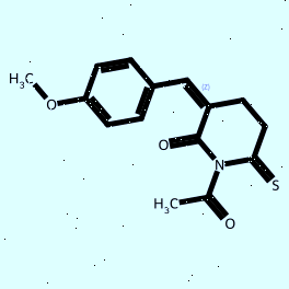 COc1ccc(/C=C2/CCC(=S)N(C(C)=O)C2=O)cc1